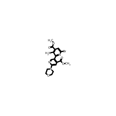 COC(=O)c1cc(N2CCOCC2)ncc1-c1nc(Br)cc(C(=O)OC)c1N